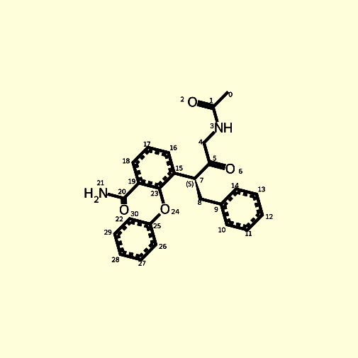 CC(=O)NCC(=O)[C@@H](Cc1ccccc1)c1cccc(C(N)=O)c1Oc1ccccc1